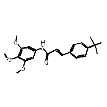 COc1cc(NC(=O)/C=C/c2ccc(C(C)(C)C)cc2)cc(OC)c1OC